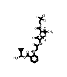 CC(OC(=O)c1ccccc1NCC(=O)NC1C(=O)N2C(C(=O)OCC(Cl)(Cl)Cl)C(C)(C)S[C@H]12)C1CC1